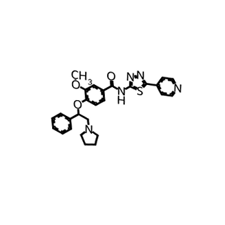 COc1cc(C(=O)Nc2nnc(-c3ccncc3)s2)ccc1OC(CN1CCCC1)c1ccccc1